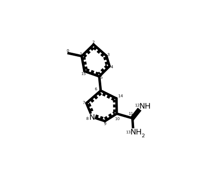 Cc1cccc(-c2[c]ncc(C(=N)N)c2)c1